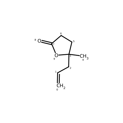 C=CCC1(C)CCC(=O)O1